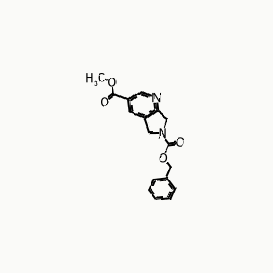 COC(=O)c1cnc2c(c1)CN(C(=O)OCc1ccccc1)C2